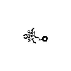 CCOP(=O)(OCC)C(NCCSc1ccccc1)P(=O)(OCC)OCC